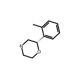 Cc1ccccc1[C@H]1C[N]CCO1